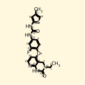 CCN1Cc2c(Oc3ccc(NC(=O)Nc4cc(C)cs4)cc3F)ccnc2NC1=O